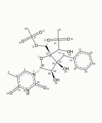 Cc1cn([C@@H]2O[C@](COS(C)(=O)=O)(C(O)S(C)(=O)=O)[C@](O)(Cc3ccccc3)[C@H]2O)c(=O)[nH]c1=O